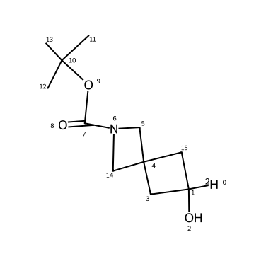 [2H]C1(O)CC2(CN(C(=O)OC(C)(C)C)C2)C1